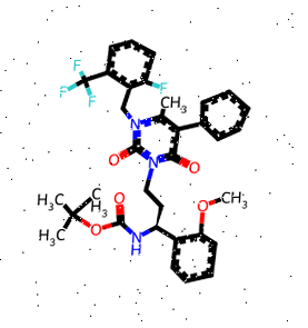 COc1ccccc1[C@H](CCn1c(=O)c(-c2ccccc2)c(C)n(Cc2c(F)cccc2C(F)(F)F)c1=O)NC(=O)OC(C)(C)C